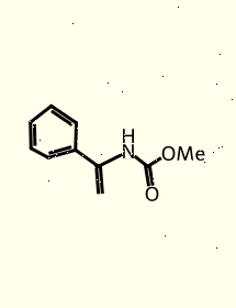 C=C(NC(=O)OC)c1ccccc1